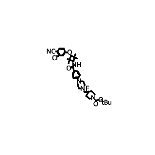 CC(C)(C)OC(=O)N1CCC(F)(CN2CCN(c3ccc(C(=O)NC4C(C)(C)C(Oc5ccc(C#N)c(Cl)c5)C4(C)C)cc3)CC2)CC1